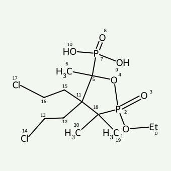 CCOP1(=O)OC(C)(P(=O)(O)O)C(CCCl)(CCCl)C1(C)C